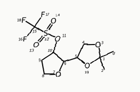 CC1(C)OCC(C2OCCC2OS(=O)(=O)C(F)(F)F)O1